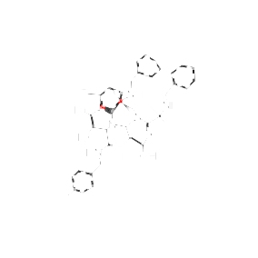 CC(C)(NCc1ccccc1)C1=NC(O)=C(O)C(N2C(C(C)(C)NCc3ccccc3)=NC(O)=C(O)C2C(=O)NCc2ccc(F)cc2)N1Cc1ccc(F)cc1